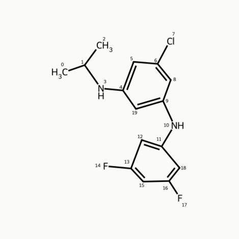 CC(C)Nc1cc(Cl)cc(Nc2cc(F)cc(F)c2)c1